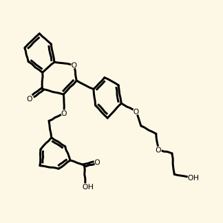 O=C(O)c1cccc(COc2c(-c3ccc(OCCOCCO)cc3)oc3ccccc3c2=O)c1